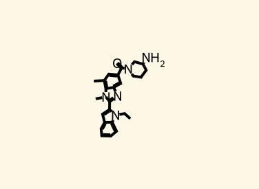 CCn1c(-c2nc3cc(C(=O)N4CCCC(N)C4)cc(C)c3n2C)cc2ccccc21